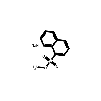 NOS(=O)(=O)c1cccc2ccccc12.[NaH]